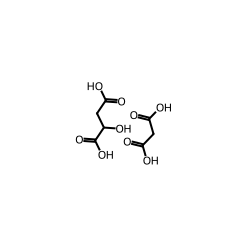 O=C(O)CC(=O)O.O=C(O)CC(O)C(=O)O